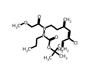 C=C/C(Cl)=C\C(=C)CCN(C(=O)COC)N(CCC)C(=O)OC(C)(C)C